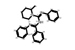 CC1CCCCN1/C(=N/c1ccccc1)N/C(=N/c1ccccc1)c1ccccc1